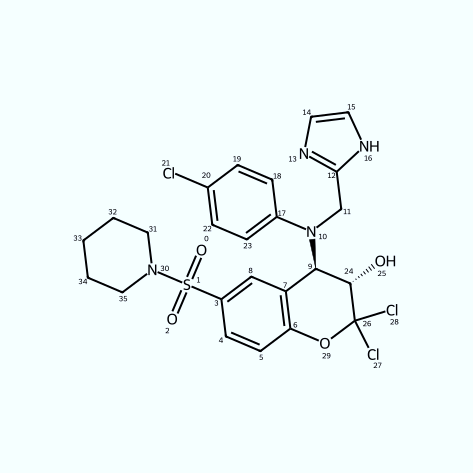 O=S(=O)(c1ccc2c(c1)[C@@H](N(Cc1ncc[nH]1)c1ccc(Cl)cc1)[C@H](O)C(Cl)(Cl)O2)N1CCCCC1